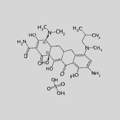 CC(C)CN(C)c1cc(N)c(O)c2c1CC1CC3[C@H](N(C)C)C(O)=C(C(N)=O)C(=O)[C@@]3(O)C(O)=C1C2=O.O=S(=O)(O)O